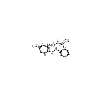 CO/N=C(/C#N)c1ccccc1COc1ccc(Cl)cc1